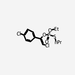 CCCSP(=O)(OCC)OC(=CCl)c1ccc(Cl)cc1